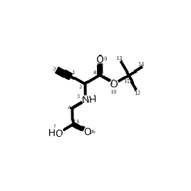 C#CC(NCC(=O)O)C(=O)OC(C)(C)C